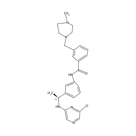 C[C@H](Nc1cncc(Cl)n1)c1cccc(NC(=O)c2cccc(CN3CCN(C)CC3)c2)c1